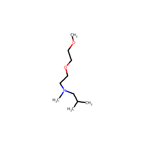 COCCOCCN(C)CC(C)C